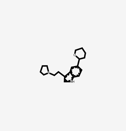 c1cc2[nH]cc(CCN3CCCC3)c2cc1C1CCCCO1